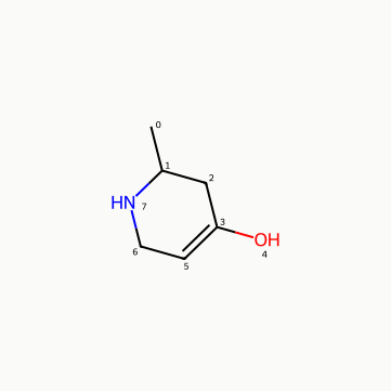 CC1CC(O)=CCN1